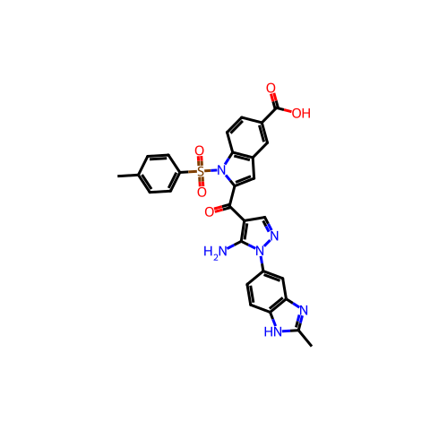 Cc1ccc(S(=O)(=O)n2c(C(=O)c3cnn(-c4ccc5[nH]c(C)nc5c4)c3N)cc3cc(C(=O)O)ccc32)cc1